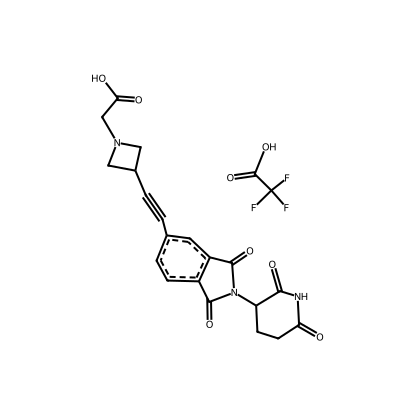 O=C(O)C(F)(F)F.O=C(O)CN1CC(C#Cc2ccc3c(c2)C(=O)N(C2CCC(=O)NC2=O)C3=O)C1